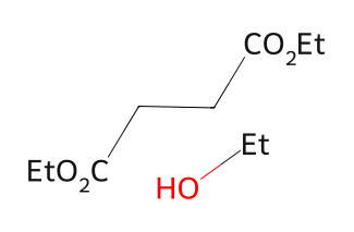 CCO.CCOC(=O)CCC(=O)OCC